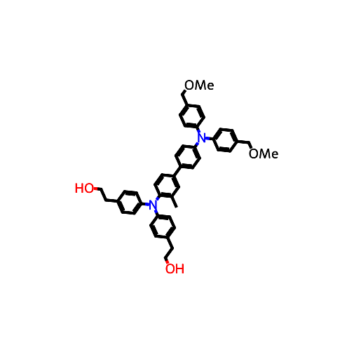 COCc1ccc(N(c2ccc(COC)cc2)c2ccc(-c3ccc(N(c4ccc(CCO)cc4)c4ccc(CCO)cc4)c(C)c3)cc2)cc1